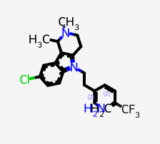 C=C(/C=C\C(=C/N)CCn1c2c(c3cc(Cl)ccc31)C(C)N(C)CC2)C(F)(F)F